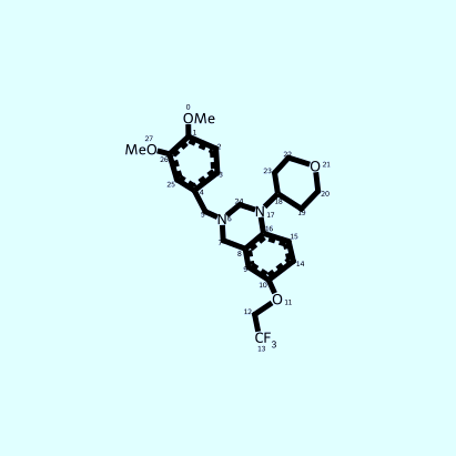 COc1ccc(CN2Cc3cc(OCC(F)(F)F)ccc3N(C3CCOCC3)C2)cc1OC